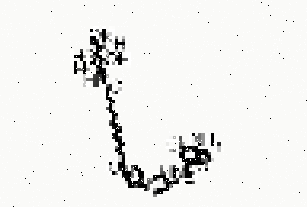 Nc1c(Cl)cc(C(=O)NCC2CCN(CC3CCN(C(=O)CCCCCCCCCCC(=O)NC[C@H](O)[C@@H](O)[C@H](O)[C@H](O)CO)CC3)CC2)c2c1CCO2